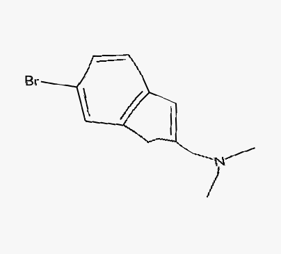 CN(C)C1=Cc2ccc(Br)cc2C1